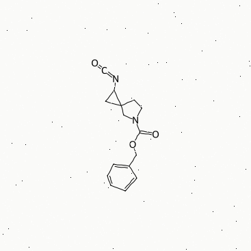 O=C=NC1CC12CCN(C(=O)OCc1ccccc1)C2